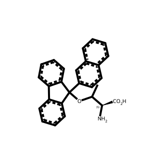 CC(OC1(c2ccc3ccccc3c2)c2ccccc2-c2ccccc21)[C@H](N)C(=O)O